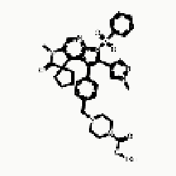 CN1C(=O)C2(CCCC2)c2c1cnc1c2c(-c2ccc(CN3CCN(C(=O)OC(C)(C)C)CC3)cc2)c(-c2cnn(C)c2)n1S(=O)(=O)c1ccccc1